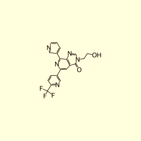 O=c1c2cc(-c3ccc(C(F)(F)F)nc3)nc(-c3cccnc3)c2ncn1CCO